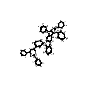 c1ccc(-c2cc(-c3cccc(-n4c5ccccc5c5cc6c7c(nc(-c8ccccc8)n7-c7ccccc7)n(-c7ccccc7)c6cc54)c3)nc(-c3ccccc3)n2)cc1